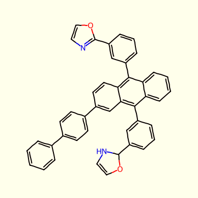 C1=COC(c2cccc(-c3c4ccccc4c(-c4cccc(-c5ncco5)c4)c4ccc(-c5ccc(-c6ccccc6)cc5)cc34)c2)N1